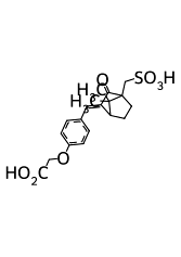 CC1(C)C2CCC1(CS(=O)(=O)O)C(=O)C2=Cc1ccc(OCC(=O)O)cc1